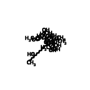 CCCCC[C@H](O)CCCCCCCCCC(=O)O[C@H]1[C@H](O[C@@H](CNc2ccc(OC)cc2)[C@@H](O)[C@H](O)[C@H](O)CO)O[C@@H](C)[C@H](OC(=O)C(C)C)[C@H]1O[C@@H]1O[C@@H](C)[C@H](O)[C@@H](O)[C@H]1O